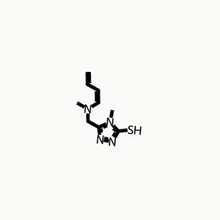 C=C/C=C\N(C)Cc1nnc(S)n1C